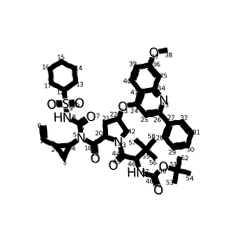 C=CC1CC1N(C(=O)NS(=O)(=O)C1CCCCC1)C(=O)C1CC(Oc2cc(-c3ccccc3)nc3cc(OC)ccc23)CN1C(=O)C(NC(=O)OC(C)(C)C)C(C)(C)C